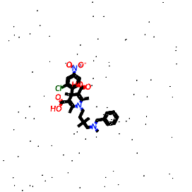 CC1=C(C(=O)O)C(C)(c2ccc([N+](=O)[O-])cc2Cl)C(C(=O)O)=C(C)N1CCC(C)(C)CN(C)Cc1ccccc1